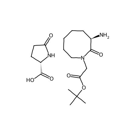 CC(C)(C)OC(=O)CN1CCCCC[C@@H](N)C1=O.O=C1CC[C@@H](C(=O)O)N1